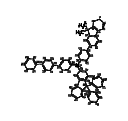 CC1(C)C2=C(C=CCC2)c2ccc(-c3ccc(N(C4=CC=C(c5ccc(-c6ccccc6)cc5)CC4)c4ccc5c(c4)-c4ccccc4C5(c4ccccc4)c4ccccc4)cc3)cc21